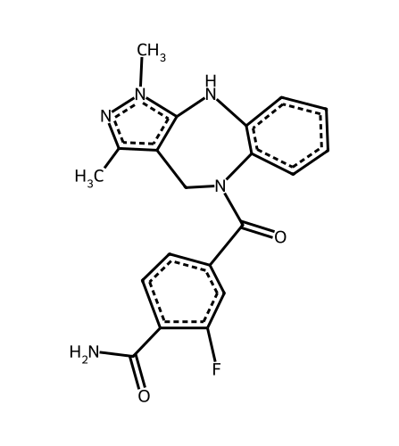 Cc1nn(C)c2c1CN(C(=O)c1ccc(C(N)=O)c(F)c1)c1ccccc1N2